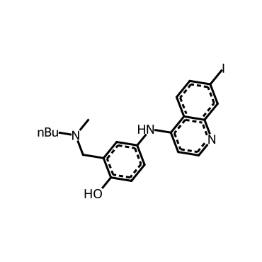 CCCCN(C)Cc1cc(Nc2ccnc3cc(I)ccc23)ccc1O